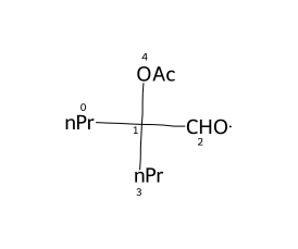 CCCC([C]=O)(CCC)OC(C)=O